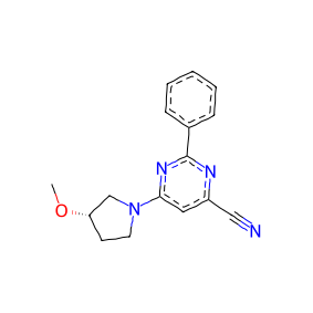 CO[C@H]1CCN(c2cc(C#N)nc(-c3ccccc3)n2)C1